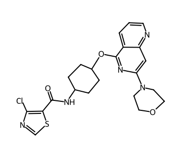 O=C(NC1CCC(Oc2nc(N3CCOCC3)cc3ncccc23)CC1)c1scnc1Cl